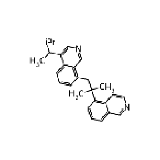 CC(C)C(C)c1cncc2c(CC(C)(C)c3cccc4cnccc34)cccc12